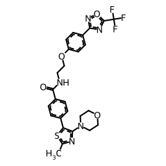 Cc1nc(N2CCOCC2)c(-c2ccc(C(=O)NCCOc3ccc(-c4noc(C(F)(F)F)n4)cc3)cc2)s1